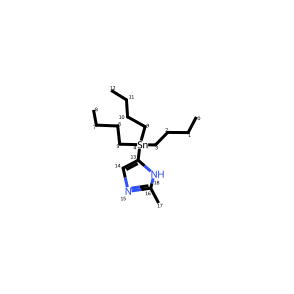 CCC[CH2][Sn]([CH2]CCC)([CH2]CCC)[c]1cnc(C)[nH]1